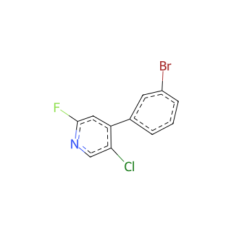 Fc1cc(-c2cccc(Br)c2)c(Cl)cn1